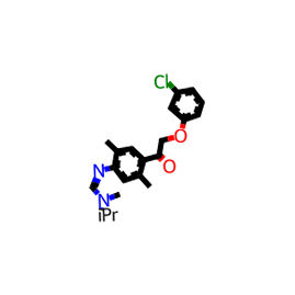 Cc1cc(C(=O)COc2cccc(Cl)c2)c(C)cc1/N=C\N(C)C(C)C